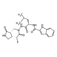 CC(C)C[C@@H](NC(=O)c1cc2ccccc2[nH]1)C(=O)NN(C[C@@H]1CCNC1=O)C(=O)CF